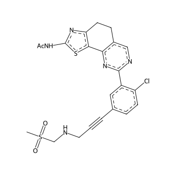 CC(=O)Nc1nc2c(s1)-c1nc(-c3cc(C#CCNCS(C)(=O)=O)ccc3Cl)ncc1CC2